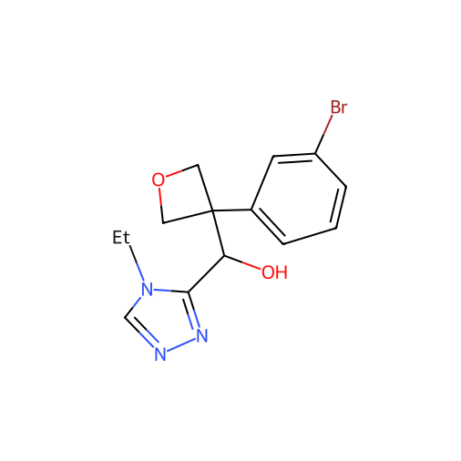 CCn1cnnc1C(O)C1(c2cccc(Br)c2)COC1